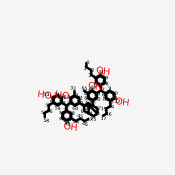 CCCCc1cc(C(c2ccc(O)c(CCCC)c2)c2cc(C34CC5CC(C3)CC(c3cc(C)c(O)c(C(c6ccc(O)c(CCCC)c6)c6ccc(O)c(CCCC)c6)c3)(C5)C4)cc(C)c2O)ccc1O